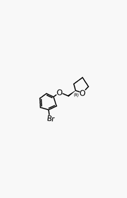 Brc1cccc(OC[C@H]2CCCO2)c1